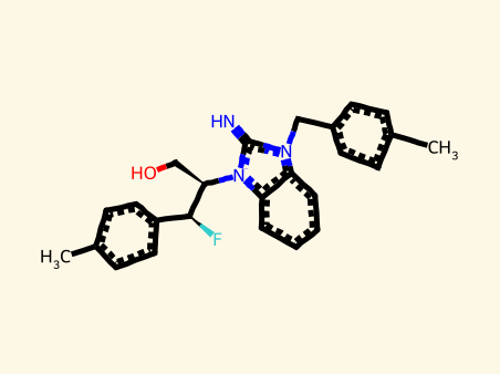 Cc1ccc(Cn2c(=N)n([C@H](CO)[C@@H](F)c3ccc(C)cc3)c3ccccc32)cc1